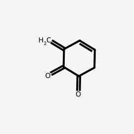 C=C1C=CCC(=O)C1=O